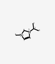 CC(C)N1[CH]N(C)C=C1